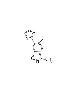 Cc1cc2c(N)noc2cc1-c1ncco1